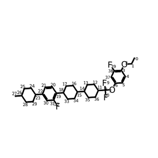 CCOc1ccc(OC(F)(F)C2CCC(C3CCC(c4ccc(C5CCC(C)CC5)cc4F)CC3)CC2)cc1F